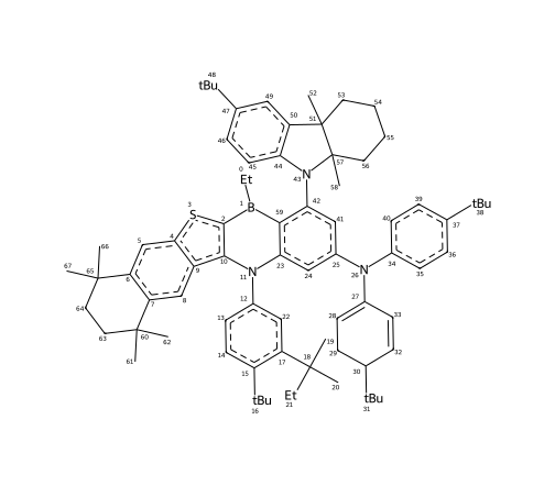 CCB1c2sc3cc4c(cc3c2N(c2ccc(C(C)(C)C)c(C(C)(C)CC)c2)c2cc(N(C3=CCC(C(C)(C)C)C=C3)c3ccc(C(C)(C)C)cc3)cc(N3c5ccc(C(C)(C)C)cc5C5(C)CCCCC35C)c21)C(C)(C)CCC4(C)C